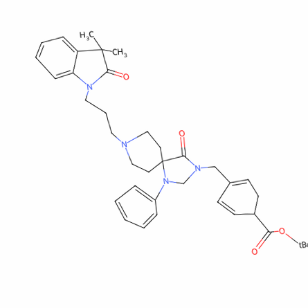 CC(C)(C)OC(=O)C1C=CC(CN2CN(c3ccccc3)C3(CCN(CCCN4C(=O)C(C)(C)c5ccccc54)CC3)C2=O)=CC1